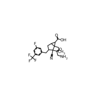 CCC12C(CC(Cc3cc(F)cc(C(F)(F)F)c3)C1(C#N)C(=O)CN)C2C(=O)O